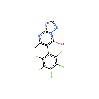 Cc1nc2ncnn2c(O)c1-c1c(F)c(F)c(F)c(F)c1F